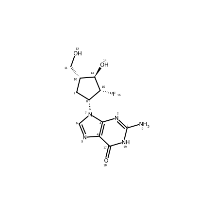 Nc1nc2c(ncn2[C@@H]2C[C@H](CO)[C@@H](O)[C@@H]2F)c(=O)[nH]1